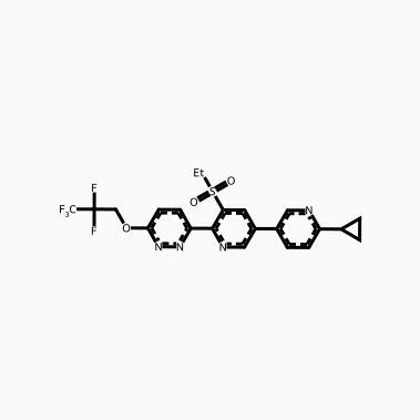 CCS(=O)(=O)c1cc(-c2ccc(C3CC3)nc2)cnc1-c1ccc(OCC(F)(F)C(F)(F)F)nn1